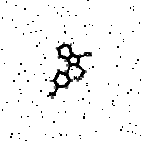 C=Cc1c(C#N)c2ccccc2n1-c1ccc(O)cc1